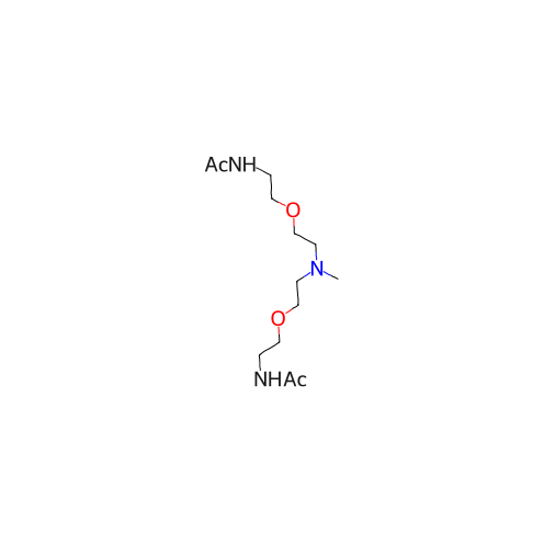 CC(=O)NCCOCCN(C)CCOCCNC(C)=O